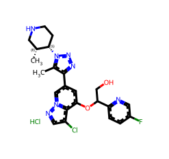 Cc1c(-c2cc(OC(CO)c3ccc(F)cn3)c3c(Cl)cnn3c2)nnn1[C@H]1CCNC[C@H]1C.Cl